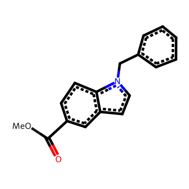 COC(=O)c1ccc2c(ccn2Cc2ccccc2)c1